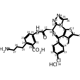 Cc1sc2c(c1C)C(c1ccc(Cl)cc1)=N[C@@H](CC(=O)Nc1ccc(CCCN)c(C(=O)O)c1)c1nnc(C)n1-2.Cl